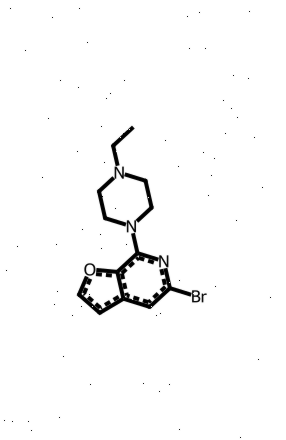 CCN1CCN(c2nc(Br)cc3ccoc23)CC1